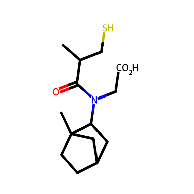 CC(CS)C(=O)N(CC(=O)O)C1CC2CCC1(C)C2